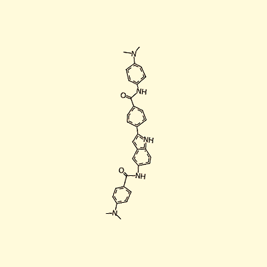 CN(C)c1ccc(NC(=O)c2ccc(-c3cc4cc(NC(=O)c5ccc(N(C)C)cc5)ccc4[nH]3)cc2)cc1